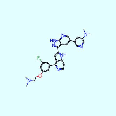 CN(C)CCOc1cc(F)cc(-c2nccc3[nH]c(-c4n[nH]c5ncc(-c6cncc(N(C)C)c6)cc45)cc23)c1